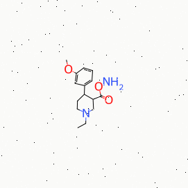 CCN1CCC(c2cccc(OC)c2)C(C(=O)ON)C1